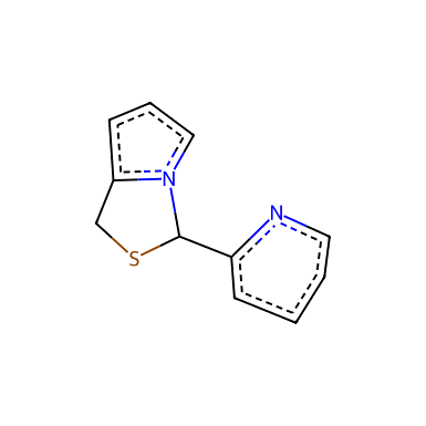 c1ccc(C2SCc3cccn32)nc1